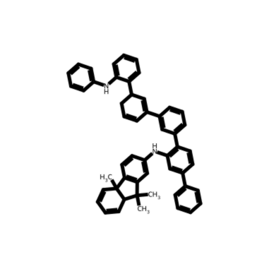 CC1(C)c2cc(Nc3cc(-c4ccccc4)ccc3-c3cccc(C4=CC(c5ccccc5Nc5ccccc5)CC=C4)c3)ccc2C2(C)C=CC=CC12